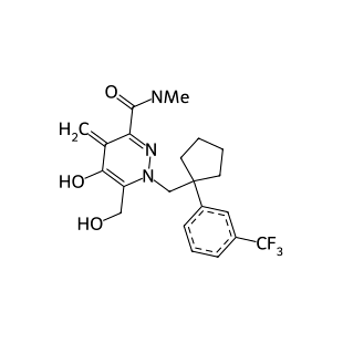 C=C1C(C(=O)NC)=NN(CC2(c3cccc(C(F)(F)F)c3)CCCC2)C(CO)=C1O